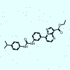 CCOC(=O)c1cnn2c(-c3cccc(NC(=O)Nc4ccc(C(C)C)cc4)c3)ccnc12